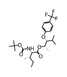 CC[C@H](C)[C@H](NC(=O)OC(C)(C)C)C(=O)O[C@@H](C)[C@H](Oc1ccc(C(F)(F)F)cc1)C(C)C